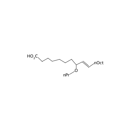 CCCCCCCCC=CC(CCCCCCC(=O)O)OCCC